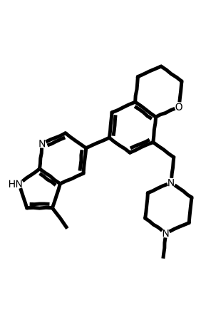 Cc1c[nH]c2ncc(-c3cc4c(c(CN5CCN(C)CC5)c3)OCCC4)cc12